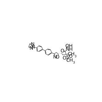 C[C@@](CC[C@H]1CC(c2ccc(-c3ccc(-n4nccn4)cc3)cc2)=NO1)(C(=O)NO)S(C)(=O)=O